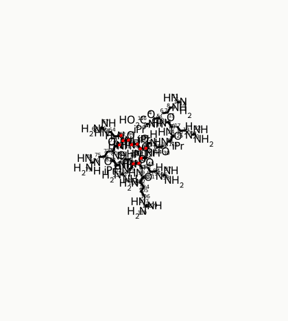 CC(C)[C@H](NC(=O)[C@H](CCCNC(=N)N)NC(=O)[C@H](CCCNC(=N)N)NC(=O)[C@@H](NC(=O)[C@@H](NC(=O)[C@H](CCCNC(=N)N)NC(=O)[C@H](CCCNC(=N)N)NC(=O)[C@@H](NC(=O)[C@H](CCCNC(=N)N)NC(=O)[C@H](CCCNC(=N)N)NC(=O)[C@@H](NC(=O)[C@@H](NC(=O)[C@H](CCCNC(=N)N)NC(=O)[C@@H](N)CCCNC(=N)N)C(C)C)C(C)C)C(C)C)C(C)C)C(C)C)C(=O)O